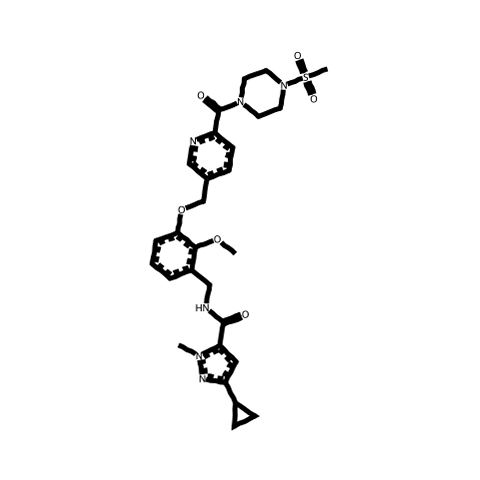 COc1c(CNC(=O)c2cc(C3CC3)nn2C)cccc1OCc1ccc(C(=O)N2CCN(S(C)(=O)=O)CC2)nc1